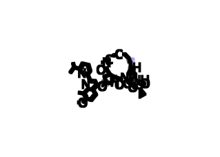 COc1ccc2c(O[C@H]3CC4C(=O)N(C)CCCC/C=C\[C@@H]5C[C@@]5(C(=O)NS(=O)(=O)C5CC5)NC(=O)[C@@H]4C3)cc(-c3cccc(C(C)C)n3)nc2c1C